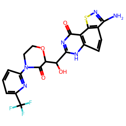 Nc1nsc2c1ccc1[nH]c(C(O)C3OCCN(c4cccc(C(F)(F)F)n4)C3=O)nc(=O)c12